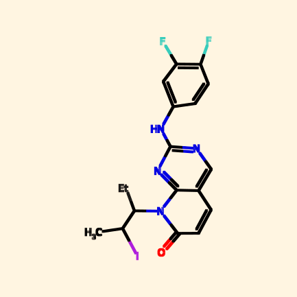 CCC(C(C)I)n1c(=O)ccc2cnc(Nc3ccc(F)c(F)c3)nc21